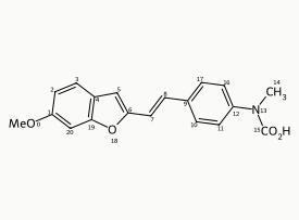 COc1ccc2cc(/C=C/c3ccc(N(C)C(=O)O)cc3)oc2c1